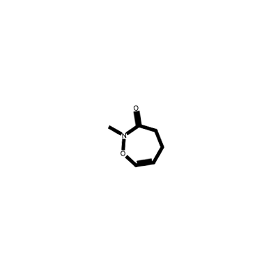 CN1OC=CCCC1=O